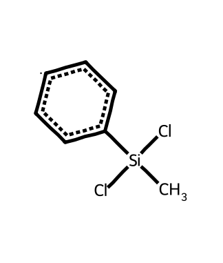 C[Si](Cl)(Cl)c1cc[c]cc1